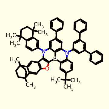 CC(C)(C)c1ccc2c(c1)B1c3oc4cc5c(cc4c3N(c3ccc4c(c3)C(C)(C)CCC4(C)C)c3cc(-c4ccccc4)cc(c31)N2c1cc(-c2ccccc2)cc(-c2ccccc2)c1)C1(C)CCC5(C)CC1